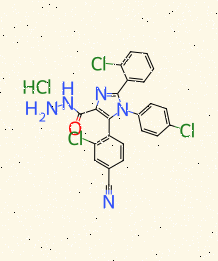 Cl.N#Cc1ccc(-c2c(C(=O)NN)nc(-c3ccccc3Cl)n2-c2ccc(Cl)cc2)c(Cl)c1